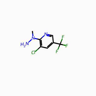 CN(N)c1ncc(C(F)(F)F)cc1Cl